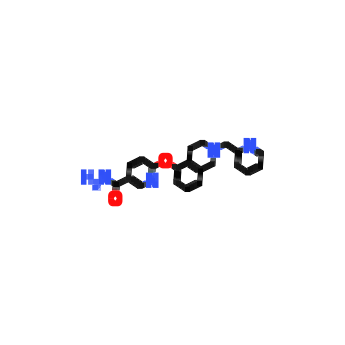 NC(=O)c1ccc(Oc2cccc3c2CCN(Cc2ccccn2)C3)nc1